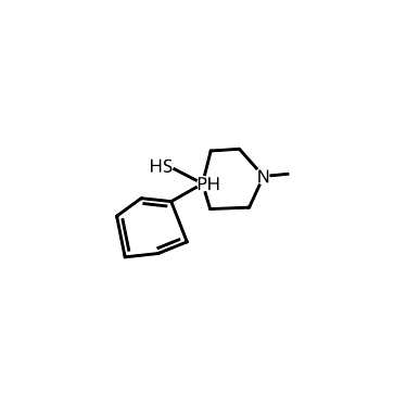 CN1CC[PH](S)(c2ccccc2)CC1